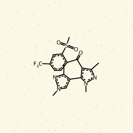 Cc1nn(C)cc1-c1c(C(=O)c2ccc(C(F)(F)F)cc2S(C)(=O)=O)c(C)nn1C